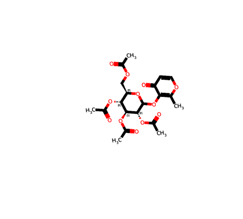 CC(=O)OC[C@H]1OC(Oc2c(C)occc2=O)[C@H](OC(C)=O)[C@@H](OC(C)=O)[C@@H]1OC(C)=O